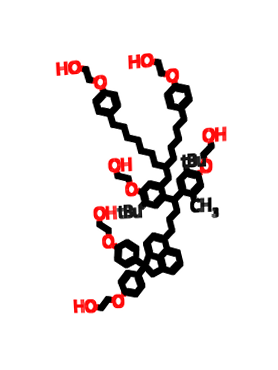 Cc1cc(OCCO)c(C(C)(C)C)cc1C(CCCc1ccc2c3c(cccc13)CC2(c1ccc(OCCO)cc1)c1ccc(OCCO)cc1)c1cc(C(C)(C)C)c(OCCO)cc1CC(CCCCCCCc1ccc(OCCO)cc1)CCCCCc1ccc(OCCO)cc1